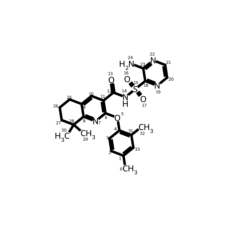 Cc1ccc(Oc2nc3c(cc2C(=O)NS(=O)(=O)c2nccnc2N)CCCC3(C)C)c(C)c1